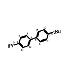 CC(C)c1ccc(-c2ccc(C(C)(C)C)cc2)cc1